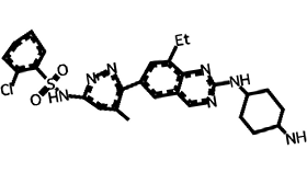 CCc1cc(-c2nnc(NS(=O)(=O)c3ccccc3Cl)cc2C)cc2cnc(NC3CCC(N)CC3)nc12